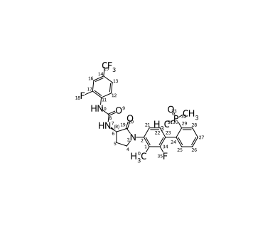 Cc1c(N2CC[C@@H](NC(=O)Nc3ccc(C(F)(F)F)cc3F)C2=O)ccc(-c2ccccc2P(C)(C)=O)c1F